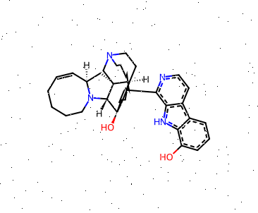 Oc1cccc2c1[nH]c1c(C3=C[C@@]4(O)CC/C=C\CCCCN5CC[C@@H]3[C@]3(C[C@@H]6/C=C\CCCCN6[C@H]34)C5)nccc12